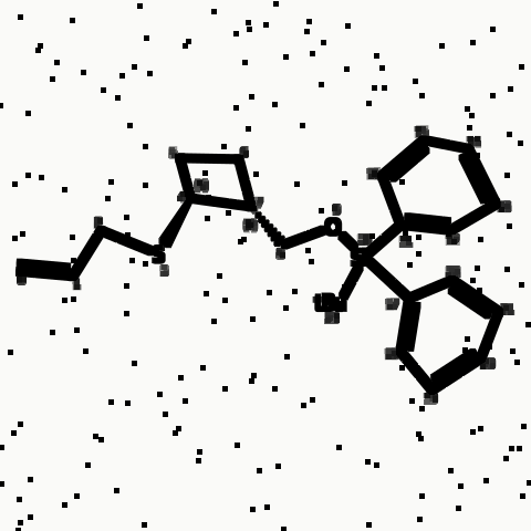 C=CCS[C@H]1CC[C@@H]1CO[Si](c1ccccc1)(c1ccccc1)C(C)(C)C